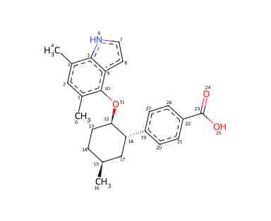 Cc1cc(C)c2[nH]ccc2c1O[C@@H]1CC[C@H](C)C[C@H]1c1ccc(C(=O)O)cc1